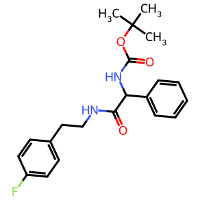 CC(C)(C)OC(=O)NC(C(=O)NCCc1ccc(F)cc1)c1ccccc1